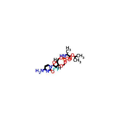 CC(C)OC(=O)[C@H](C)N[P]1(O)OCO[C@@H]2[C@@H](CO1)O[C@@H](n1ccc(N)nc1=O)C2(F)F